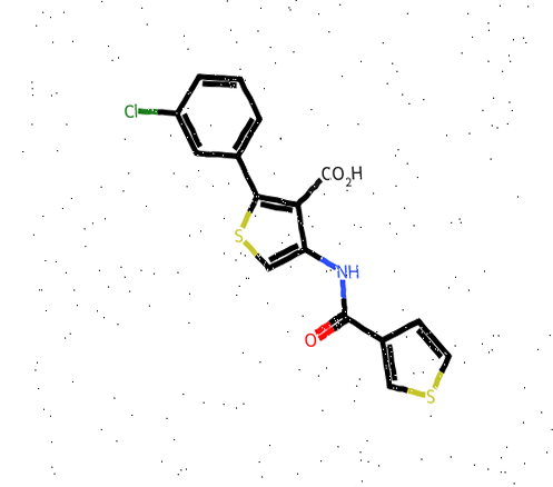 O=C(Nc1csc(-c2cccc(Cl)c2)c1C(=O)O)c1ccsc1